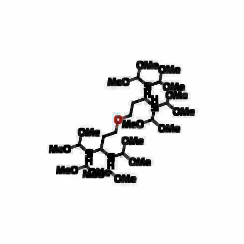 COC(OC)[SiH](C(OC)OC)C(CCOCCC([SiH](C(OC)OC)C(OC)OC)[SiH](C(OC)OC)C(OC)OC)[SiH](C(OC)OC)C(OC)OC